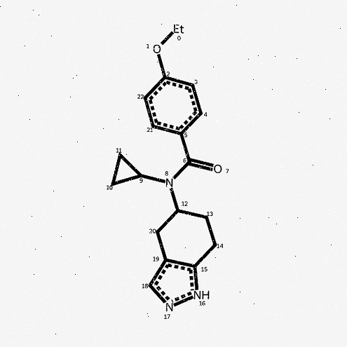 CCOc1ccc(C(=O)N(C2CC2)C2CCc3[nH]ncc3C2)cc1